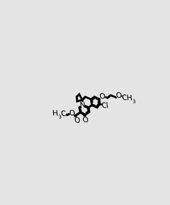 CCOC(=O)c1cn2c(cc1=O)-c1cc(Cl)c(OCCCOC)cc1CC21CCC1